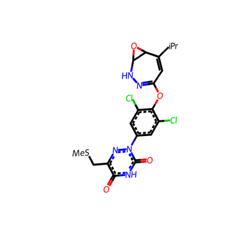 CSCc1nn(-c2cc(Cl)c(OC3=NNC4OC4C(C(C)C)=C3)c(Cl)c2)c(=O)[nH]c1=O